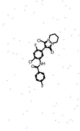 O=C(Nc1cc(-c2c(Cl)n3n(c2=O)CCCC3)c(F)cc1Cl)c1ccc(F)cc1